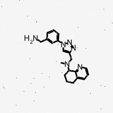 CN(Cc1cn(-c2cccc(CN)c2)nn1)C1CCCc2cccnc21